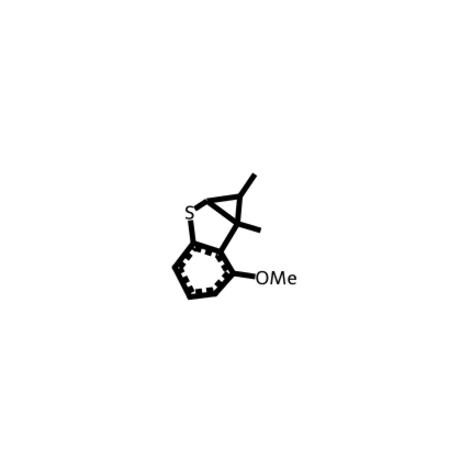 COc1cccc2c1C1(C)C(C)C1S2